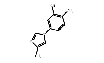 Cc1cn(-c2ccc(N)c(C#N)c2)cn1